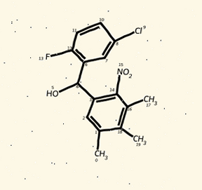 Cc1cc(C(O)c2cc(Cl)ccc2F)c([N+](=O)[O-])c(C)c1C